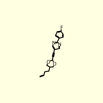 C=CCCC1COC(C#Cc2cnc(-c3ccc(F)cc3)nc2)OC1